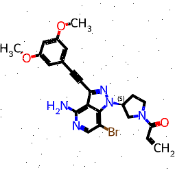 C=CC(=O)N1CC[C@H](n2nc(C#Cc3cc(OC)cc(OC)c3)c3c(N)ncc(Br)c32)C1